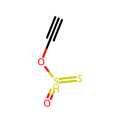 C#CO[SH](=O)=S